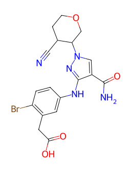 N#CC1CCOCC1n1cc(C(N)=O)c(Nc2ccc(Br)c(CC(=O)O)c2)n1